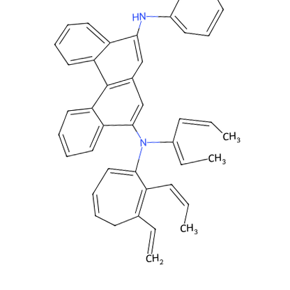 C=CC1=C(/C=C\C)C(N(C(/C=C\C)=C/C)c2cc3cc(Nc4ccccc4)c4ccccc4c3c3ccccc23)=CC=CC1